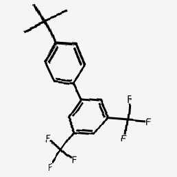 CC(C)(C)c1ccc(-c2cc(C(F)(F)F)cc(C(F)(F)F)c2)cc1